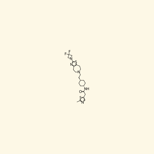 Cc1ncc(CC(=O)N[C@H]2CC[C@H](CCN3CCc4nc(N5CC(F)(F)C5)sc4CC3)CC2)s1